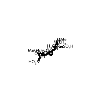 CON(C)C(=O)C1=CN(CCCS(=O)(=O)O)C2=N/C(=C/C=C3\CCCC(/C=C/C4=Nc5c(cc(C(=O)N(C)OC)c[n+]5CCCS(=O)(=O)O)C4(C)C)=C3Cl)C(C)(C)C2=C1